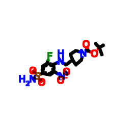 CC(C)(C)OC(=O)N1CCC(CNc2c(F)cc(S(N)(=O)=O)cc2[N+](=O)[O-])CC1